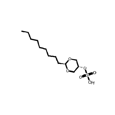 CCCCCCCCC[C@H]1OC[C@H](OS(=O)(=O)O)CO1